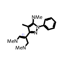 CN/C=C(\CNC)c1nn(-c2ccccc2)c(NC)c1C